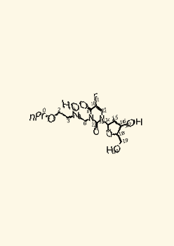 CCCOCCN(O)Cn1c(=O)c(F)cn(C2CC(O)C(CO)O2)c1=O